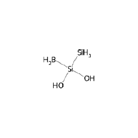 B[Si](O)(O)[SiH3]